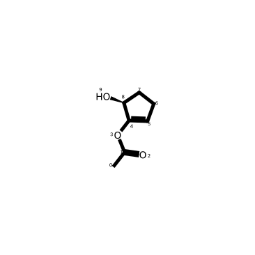 CC(=O)OC1=CCC[C@@H]1O